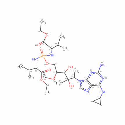 CCOC(=O)[C@@H](NP(=O)(N[C@H](C(=O)OCC)C(C)C)OCC(OC)C(O)C(C)(O)C(C)n1cnc2c(NC3CC3)nc(N)nc21)C(C)C